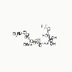 COc1cc(/C=C/C(=O)Oc2cccc(CO[N+](=O)[O-])c2)ccc1OC(=O)CNC(=O)CCC/C=C\C[C@@H]1[C@@H](/C=C/[C@@H](O)CCc2cccc(C(F)(F)F)c2)[C@H](O)C[C@@H]1O